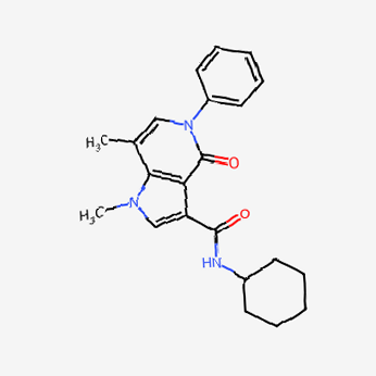 Cc1cn(-c2ccccc2)c(=O)c2c(C(=O)NC3CCCCC3)cn(C)c12